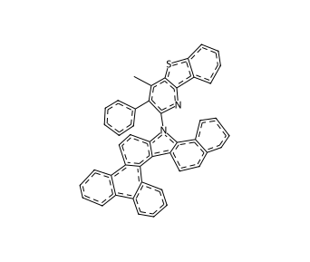 Cc1c(-c2ccccc2)c(-n2c3ccc4c5ccccc5c5ccccc5c4c3c3ccc4ccccc4c32)nc2c1sc1ccccc12